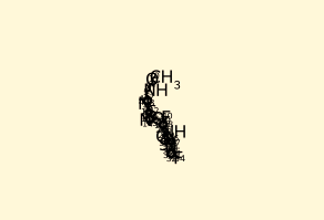 COCCNCc1ccc(-c2cc3nccc(Oc4ccc(NC(=O)N5CCN(c6cccc(F)c6)C5=S)cc4F)c3s2)nc1